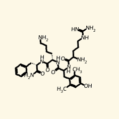 Cc1cc(O)cc(C)c1CC(NC(=O)C(N)CCCNC(=N)N)C(=O)N[C@@H](CCCCN)C(=O)N[C@@H](Cc1ccccc1)C(N)=O